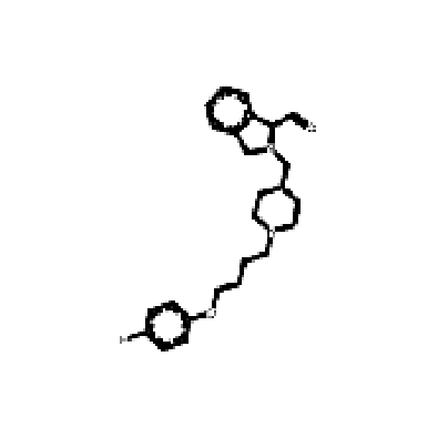 O=CC1c2ccccc2CN1CC1CCN(CCCCOc2ccc(F)cc2)CC1